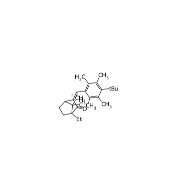 CCC12CCC(/C(=C/c3c(C)c(C)c(C(C)(C)C)c(C)c3C)C1=O)C2(C)C